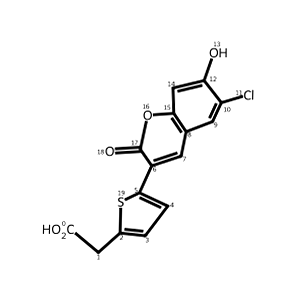 O=C(O)Cc1ccc(-c2cc3cc(Cl)c(O)cc3oc2=O)s1